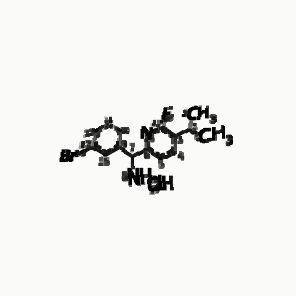 CC(C)c1ccc(C(N)c2cccc(Br)c2)nc1F.Cl